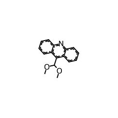 COC(OC)c1c2ccccc2nc2ccccc12